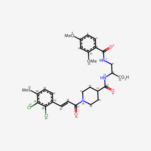 COc1ccc(C(=O)NCC(NC(=O)C2CCN(C(=O)C=Cc3ccc(SC)c(Cl)c3Cl)CC2)C(=O)O)c(OC)c1